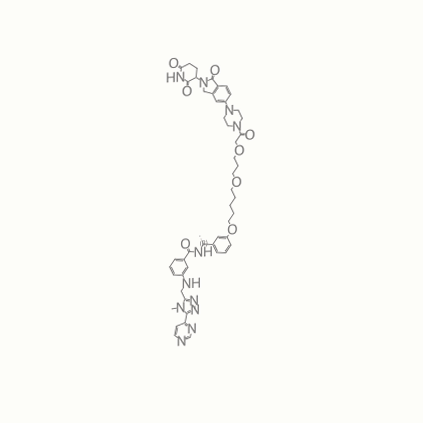 C[C@@H](NC(=O)c1cccc(NCc2nnc(-c3ccncn3)n2C)c1)c1cccc(OCCCCCOCCCOCC(=O)N2CCN(c3ccc4c(c3)CN(C3CCC(=O)NC3=O)C4=O)CC2)c1